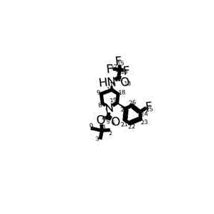 CC(C)(C)OC(=O)N1CC[C@@H](NC(=O)C(F)(F)F)C[C@H]1c1cccc(F)c1